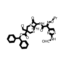 CC(C)ON=C(C(=O)NC1C(=O)N2CC(CCl)(C(=O)OC(c3ccccc3)c3ccccc3)CS[C@H]12)c1csc(NC=O)n1